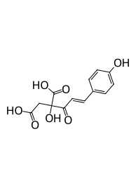 O=C(O)CC(O)(C(=O)O)C(=O)/C=C/c1ccc(O)cc1